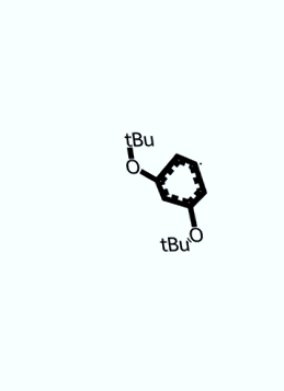 CC(C)(C)Oc1c[c]cc(OC(C)(C)C)c1